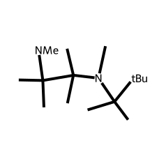 CNC(C)(C)C(C)(C)N(C)C(C)(C)C(C)(C)C